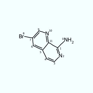 Nc1nccc2cc(Br)cnc12